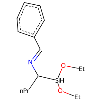 CCCC(N=Cc1ccccc1)[SiH](OCC)OCC